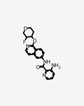 Nc1cccnc1C(=O)Nc1ccc2c(OC3CCOCC3F)nccc2c1